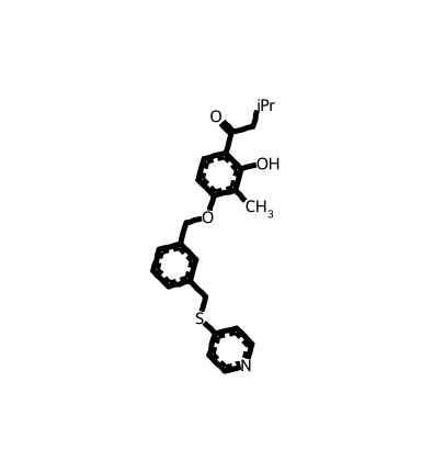 Cc1c(OCc2cccc(CSc3ccncc3)c2)ccc(C(=O)CC(C)C)c1O